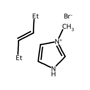 CCC=CCC.C[n+]1cc[nH]c1.[Br-]